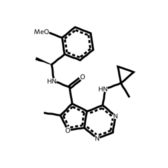 COc1ccccc1[C@H](C)NC(=O)c1c(C)oc2ncnc(NC3(C)CC3)c12